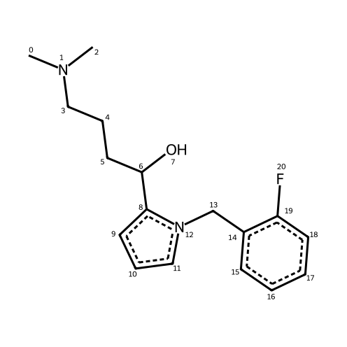 CN(C)CCCC(O)c1cccn1Cc1ccccc1F